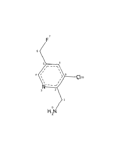 NCc1ncc(CF)cc1Cl